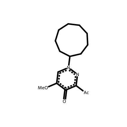 COc1cn(C2CCCCCCCC2)nc(C(C)=O)c1=O